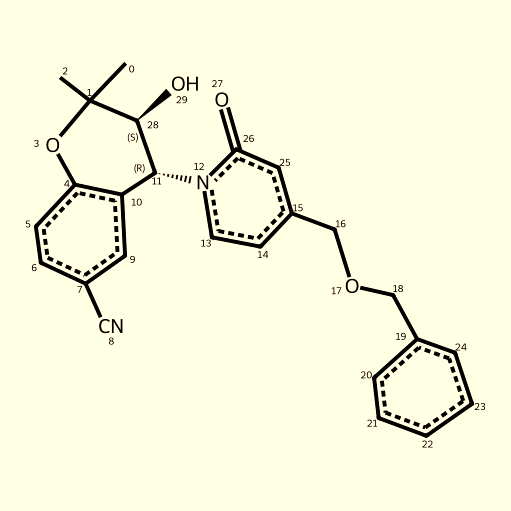 CC1(C)Oc2ccc(C#N)cc2[C@@H](n2ccc(COCc3ccccc3)cc2=O)[C@@H]1O